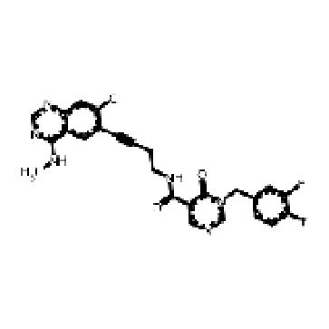 CNc1ncnc2cc(Cl)c(C#CCCNC(=O)c3cncn(Cc4ccc(F)c(F)c4)c3=O)cc12